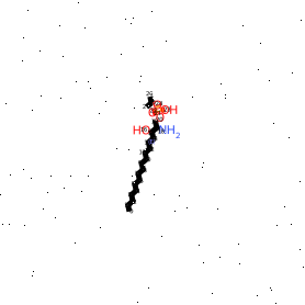 CCCCCCCCCCCCC/C=C/[C@H](O)[C@H](N)COP(=O)(O)OC(C)C